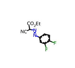 CCOC(=O)C(C#N)N=Nc1ccc(F)c(F)c1